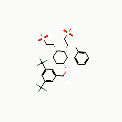 Cc1ccccc1[C@H]1[C@H](CCS(=O)(=O)O)[C@H](CCS(=O)(=O)O)CC[C@@H]1O[C@H](C)c1cc(C(F)(F)F)cc(C(F)(F)F)c1